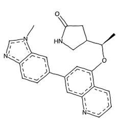 C[C@@H](Oc1cc(-c2ccc3ncn(C)c3c2)cc2ncccc12)C1CNC(=O)C1